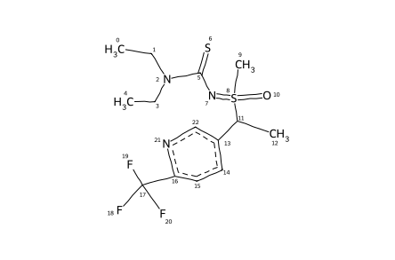 CCN(CC)C(=S)N=S(C)(=O)C(C)c1ccc(C(F)(F)F)nc1